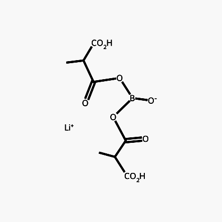 CC(C(=O)O)C(=O)OB([O-])OC(=O)C(C)C(=O)O.[Li+]